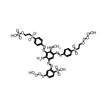 CNc1c(/N=N/c2ccc(S(=O)(=O)CCOSOOO)cc2)cc(/N=N/c2cc(SOOO)ccc2S(=O)(=O)O)c(N)c1/N=N/c1ccc(S(=O)(=O)CCOS(=O)(=O)O)cc1